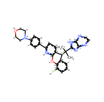 CC(C)(c1nc2nccnc2[nH]1)[C@@H]1c2ccc(-c3ccc(N4CCOCC4)cc3)nc2Oc2c(F)cccc21